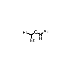 CCC(CC)ONC(C)=O